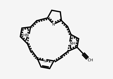 C#Cc1cc2cc3nc(cc4ccc(cc5nc(cc1[nH]2)C=C5)[nH]4)CC3